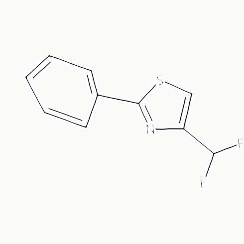 FC(F)c1csc(-c2cc[c]cc2)n1